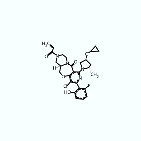 C=CC(=O)N1CCN2C(=O)c3c(N4C[C@@H](OC5CC5)C[C@@H]4C)nc(-c4c(O)cccc4F)c(Cl)c3OC[C@H]2C1